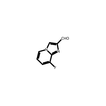 O=Cc1cn2cccc(F)c2n1